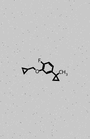 CC1(c2ccc(F)c(OCC3CC3)c2)CC1